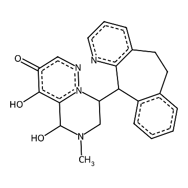 CN1CC(C2c3ccccc3CCc3cccnc32)n2ncc(=O)c(O)c2C1O